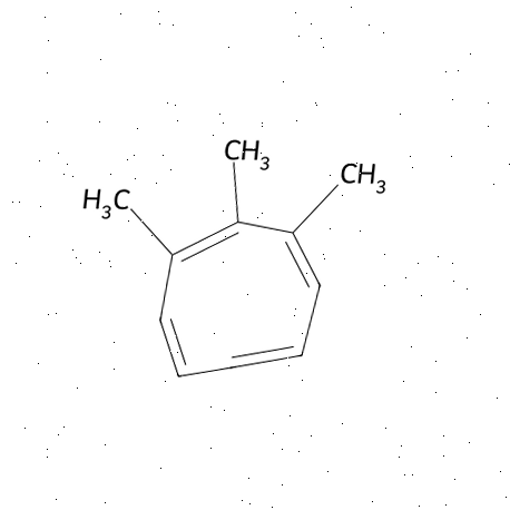 CC1=CC=CC=CC(C)=C1C